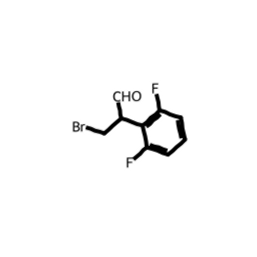 O=CC(CBr)c1c(F)cccc1F